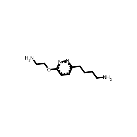 NCCCCc1ccc(OCCN)nn1